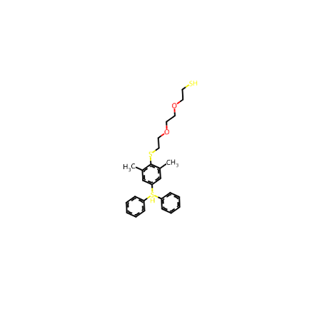 Cc1cc([SH](c2ccccc2)c2ccccc2)cc(C)c1SCCOCCOCCS